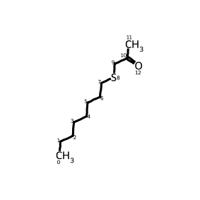 CCCCCCCCSCC(C)=O